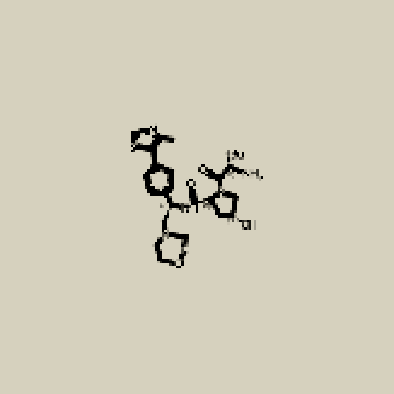 Cc1ncsc1-c1ccc([C@H](CN2CCOCC2)NC(=O)[C@@H]2C[C@@H](O)CN2C(=O)[C@@H](N)C(C)(C)C)cc1